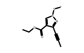 CC#Cc1nn(SF)cc1C(=O)OCC